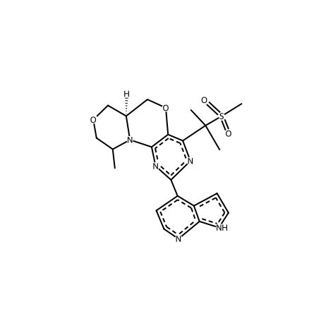 CC1COC[C@H]2COc3c(nc(-c4ccnc5[nH]ccc45)nc3C(C)(C)S(C)(=O)=O)N12